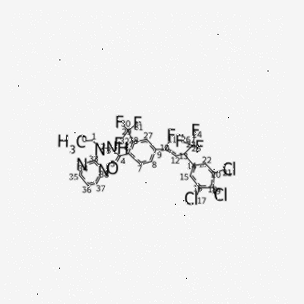 CCN(NC(=O)c1ccc(C(F)=CC(c2cc(Cl)c(Cl)c(Cl)c2)C(F)(F)F)cc1C(F)(F)F)c1ncccn1